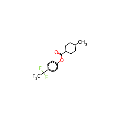 CC1CCC(C(=O)Oc2ccc(C(F)(F)C(F)(F)F)cc2)CC1